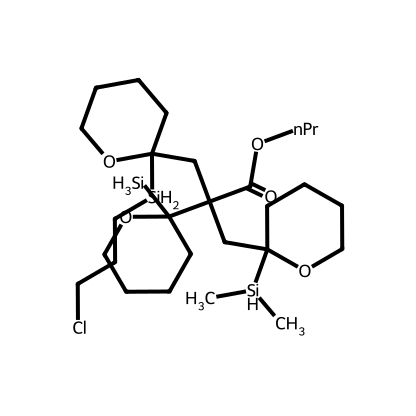 CCCOC(=O)C(CC1([SiH2]CCCCl)CCCCO1)(CC1([SiH](C)C)CCCCO1)C1([SiH3])CCCCO1